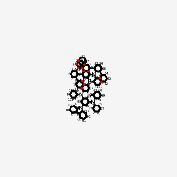 c1ccc(-c2cccc(-c3ccccc3)c2-c2c(N3C4CC5CC(C4)CC3C5)cc3c4c2Nc2cc5c(cc2B4c2ccccc2N3c2c(-c3ccccc3)cccc2-c2ccccc2)B2c3ccccc3N(c3ccccc3)c3cc(-n4c6ccccc6c6ccccc64)cc(c32)N5c2ccccc2)cc1